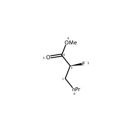 CCCC[C@H](F)C(=O)OC